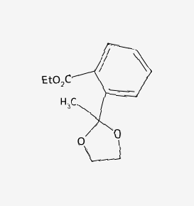 CCOC(=O)c1ccccc1C1(C)OCCO1